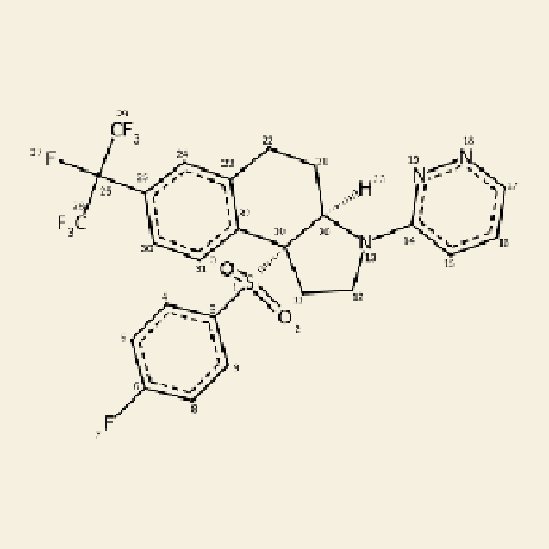 O=S(=O)(c1ccc(F)cc1)[C@@]12CCN(c3cccnn3)[C@@H]1CCc1cc(C(F)(C(F)(F)F)C(F)(F)F)ccc12